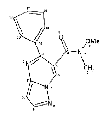 CON(C)C(=O)c1cn2nccc2nc1-c1ccccc1